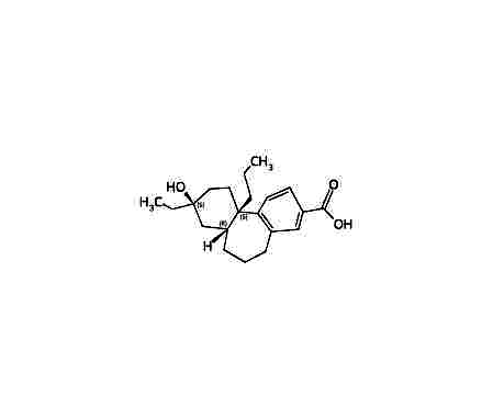 CCC[C@]12CC[C@@](O)(CC)C[C@H]1CCCc1cc(C(=O)O)ccc12